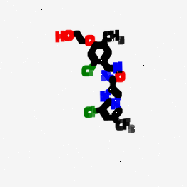 Cc1cc(-c2noc(-c3cn4cc(C(F)(F)F)cc(Cl)c4n3)n2)c(Cl)cc1OCCO